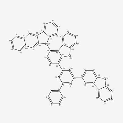 c1ccc(-c2nc(-c3ccc4oc5ccccc5c4c3)nc(-c3ccc(-n4c5ccccc5c5cc6ccccc6cc54)c4c3oc3ccccc34)n2)cc1